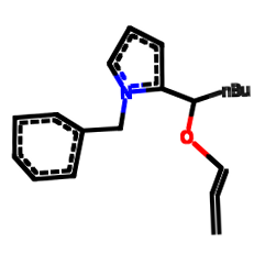 C=C=COC(CCCC)c1cccn1Cc1ccccc1